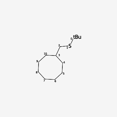 CC(C)(C)SCC1CCCCCCC1